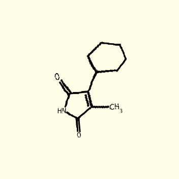 CC1=C(C2CCCCC2)C(=O)NC1=O